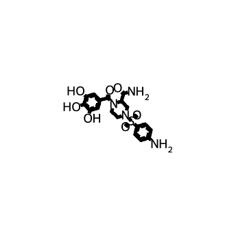 NC(=O)C1CN(S(=O)(=O)c2ccc(N)cc2)CCN1C(=O)c1cc(O)c(O)c(O)c1